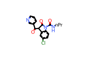 CCCNC(=O)N1C(=O)C(C(=O)c2cccnc2)c2cc(Cl)ccc21